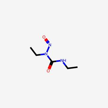 CCNC(=O)N(CC)N=O